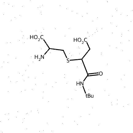 CC(C)(C)NC(=O)C(CC(=O)O)SCC(N)C(=O)O